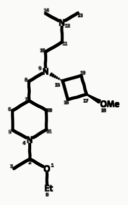 CCOC(C)N1CCC(CN(CCN(C)C)[C@H]2C[C@H](OC)C2)CC1